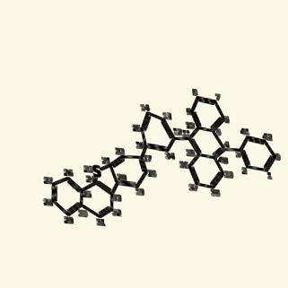 c1ccc(-c2c3ccccc3c(-c3cccc(-c4ccc5c(c4)sc4c6ccccc6ccc54)c3)c3ccccc23)cc1